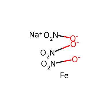 O=[N+]([O-])[O-].O=[N+]([O-])[O-].O=[N+]([O-])[O-].[Fe].[Na+]